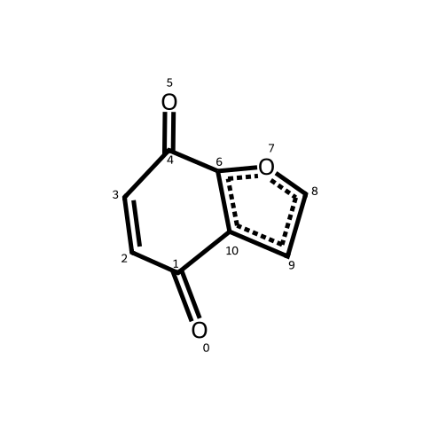 O=C1C=CC(=O)c2occc21